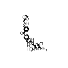 Nc1nc(N)c(C(=O)/N=C2\NCC3(CCN(C(=O)c4cccc(SNCC5OCCO5)c4)CC3)N2)nc1Cl